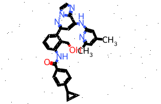 Cc1cc(C)nc(Nc2cc(-c3cccc(NC(=O)c4ccc(C5CC5)cc4)c3CO)nn3ccnc23)c1